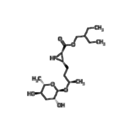 CCC(CC)COC(=O)[C@@H]1P[C@@H]1CC[C@@H](C)O[C@@H]1O[C@@H](C)[C@H](O)C[C@H]1O